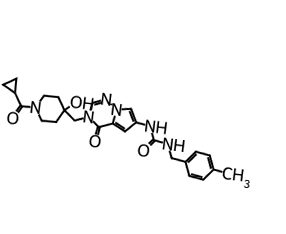 Cc1ccc(CNC(=O)Nc2cc3c(=O)n(CC4(O)CCN(C(=O)C5CC5)CC4)cnn3c2)cc1